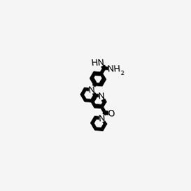 N=C(N)c1ccc(N2CCCc3cc(C(=O)N4CCCCC4)cnc32)cc1